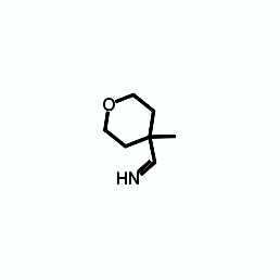 CC1(C=N)CCOCC1